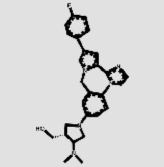 CN(C)C1CN(c2ccc3c(c2)Cn2cc(-c4ccc(F)cc4)cc2-c2nccn2-3)C[C@H]1CO